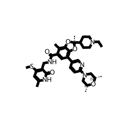 CCN1CCC([C@@]2(C)Oc3c(-c4ccc(N5C[C@@H](C)O[C@@H](C)C5)nc4)cc(C(=O)NCc4c(SC)cc(C)[nH]c4=O)c(C)c3O2)CC1